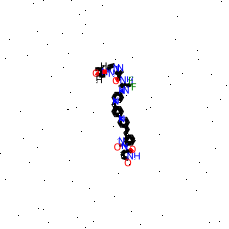 Cn1c(=O)n(C2CCC(=O)NC2=O)c2cccc(CCC3CCN(c4ccc(CN5CCC(n6cc(NC(=O)c7cnn8ccc(N9C[C@H]%10C[C@@H]9CO%10)nc78)c(C(F)F)n6)CC5)cc4)CC3)c21